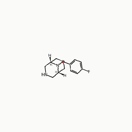 Fc1ccc(CN2[C@@H]3CNC[C@H]2COC3)cc1